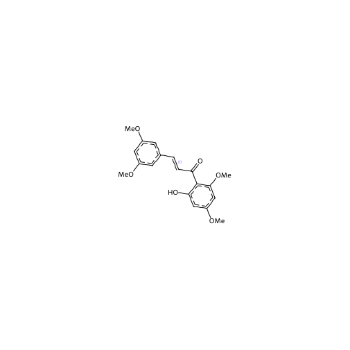 COc1cc(/C=C/C(=O)c2c(O)cc(OC)cc2OC)cc(OC)c1